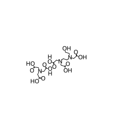 O=C(O)CN(CC(=O)O)CC(=O)O.O=C(O)CN(CCO)CCN(CC(=O)O)CC(=O)O